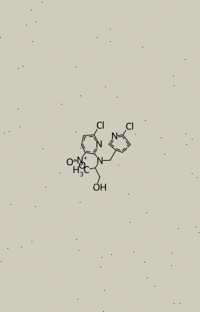 CC(CO)N(Cc1ccc(Cl)nc1)c1nc(Cl)ccc1[N+](=O)[O-]